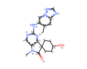 Cc1cc2ncnn2cc1Nc1ncc2c(n1)C1(CCC(O)CC1)C(=O)N2C